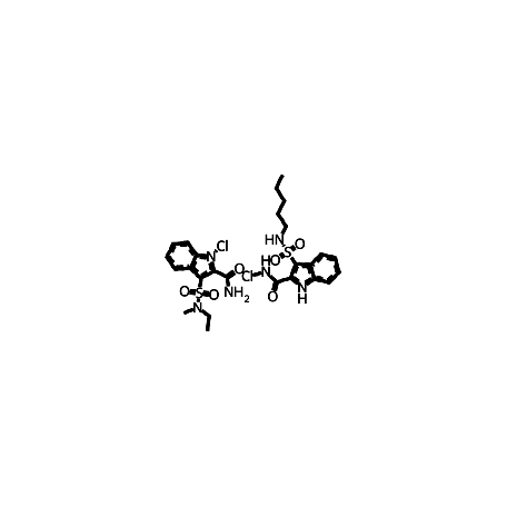 CCCCCNS(=O)(=O)c1c(C(=O)NCl)[nH]c2ccccc12.CCN(C)S(=O)(=O)c1c(C(N)=O)n(Cl)c2ccccc12